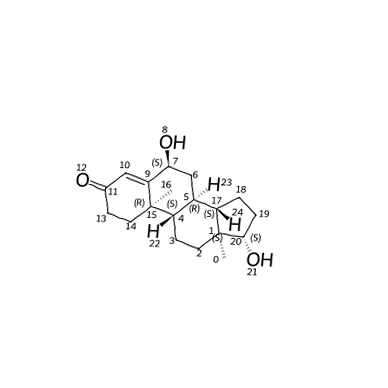 C[C@]12CC[C@H]3[C@@H](C[C@H](O)C4=CC(=O)CC[C@@]43C)[C@@H]1CC[C@@H]2O